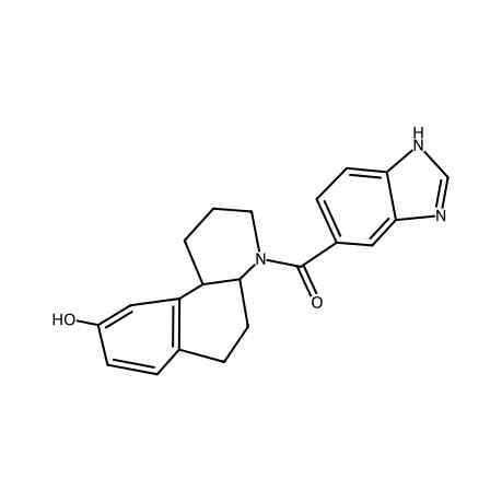 O=C(c1ccc2[nH]cnc2c1)N1CCCC2c3cc(O)ccc3CCC21